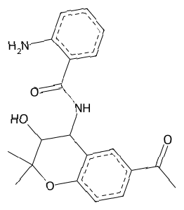 CC(=O)c1ccc2c(c1)C(NC(=O)c1ccccc1N)C(O)C(C)(C)O2